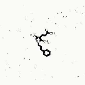 Cc1nn(C/C=C/c2ccccc2)c(C)c1C=CC(=O)O